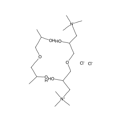 CC(O)COCC(C)O.C[N+](C)(C)CC(O)COCC(O)C[N+](C)(C)C.[Cl-].[Cl-]